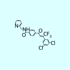 O=C(C=C(c1cc(Cl)cc(Cl)c1)C(F)(F)F)c1ccc(C(=O)NCc2ccccn2)cc1